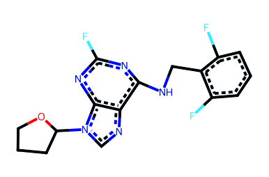 Fc1nc(NCc2c(F)cccc2F)c2ncn(C3CCCO3)c2n1